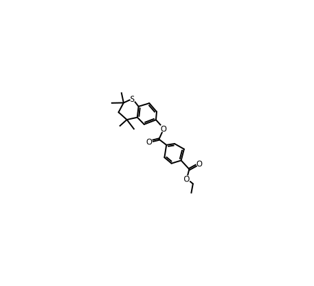 CCOC(=O)c1ccc(C(=O)Oc2ccc3c(c2)C(C)(C)CC(C)(C)S3)cc1